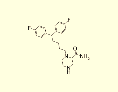 NC(=O)C1CNCCN1CCCCC(c1ccc(F)cc1)c1ccc(F)cc1